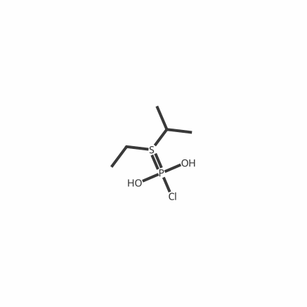 CCS(C(C)C)=P(O)(O)Cl